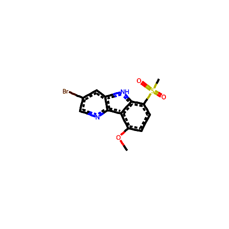 COc1ccc(S(C)(=O)=O)c2[nH]c3cc(Br)cnc3c12